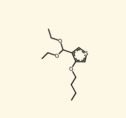 CCCCOc1cscc1C(OCC)OCC